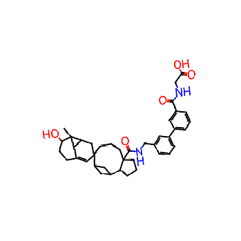 CC12C(O)CCC3=CC4(CCCC5(C(=O)NCc6cccc(-c7cccc(C(=O)NCC(=O)O)c7)c6)CCCC5C5CC4C5)CC1C32